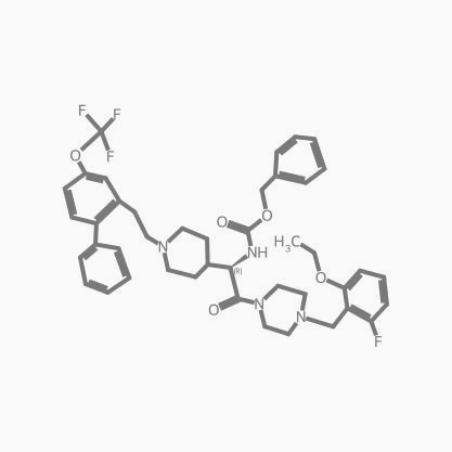 CCOc1cccc(F)c1CN1CCN(C(=O)[C@H](NC(=O)OCc2ccccc2)C2CCN(CCc3cc(OC(F)(F)F)ccc3-c3ccccc3)CC2)CC1